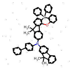 CC1(C)c2ccccc2-c2ccc(N(c3ccc(-c4ccccc4)cc3)c3ccc4c(c3)C(C)(C)c3ccc5c(c3-4)Oc3ccccc3[Si]5(c3ccccc3)c3ccccc3)cc21